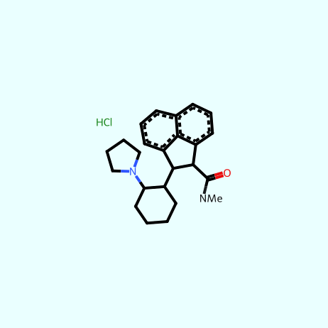 CNC(=O)C1c2cccc3cccc(c23)C1C1CCCCC1N1CCCC1.Cl